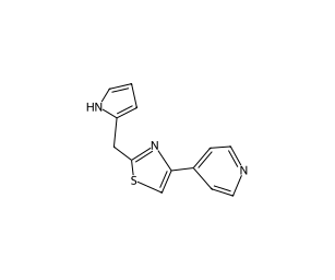 c1c[nH]c(Cc2nc(-c3ccncc3)cs2)c1